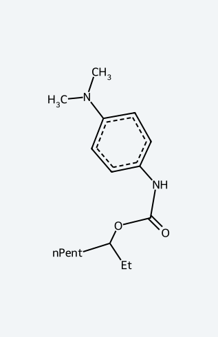 CCCCCC(CC)OC(=O)Nc1ccc(N(C)C)cc1